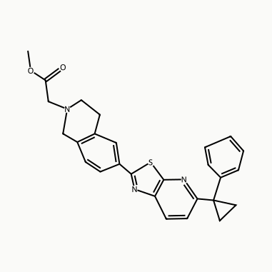 COC(=O)CN1CCc2cc(-c3nc4ccc(C5(c6ccccc6)CC5)nc4s3)ccc2C1